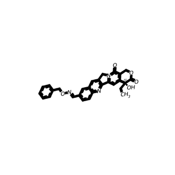 CC[C@@]1(O)C(=O)OCc2c1cc1n(c2=O)Cc2cc3cc(C=NOCc4ccccc4)ccc3nc2-1